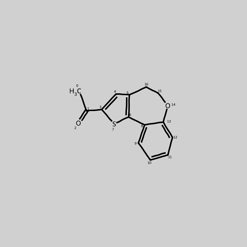 CC(=O)c1cc2c(s1)-c1ccccc1OCC2